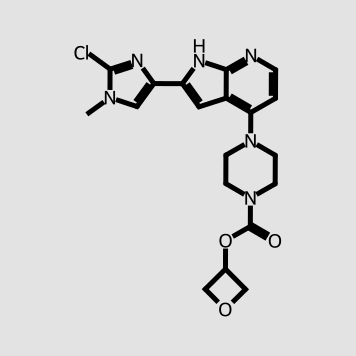 Cn1cc(-c2cc3c(N4CCN(C(=O)OC5COC5)CC4)ccnc3[nH]2)nc1Cl